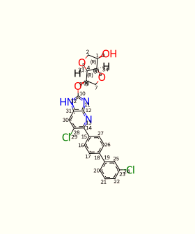 O[C@@H]1CO[C@H]2[C@@H]1OC[C@H]2Oc1nc2nc(-c3ccc(-c4cccc(Cl)c4)cc3)c(Cl)cc2[nH]1